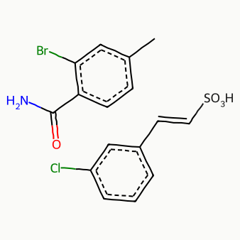 Cc1ccc(C(N)=O)c(Br)c1.O=S(=O)(O)C=Cc1cccc(Cl)c1